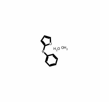 O.O.[B](c1ccccc1)c1ccco1